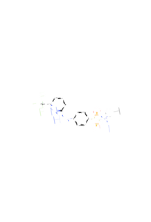 CNS(=O)(=O)c1ccc(Nc2cccc(C(F)(F)F)n2)cc1